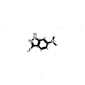 CN(C)c1ccc2c(F)n[nH]c2c1